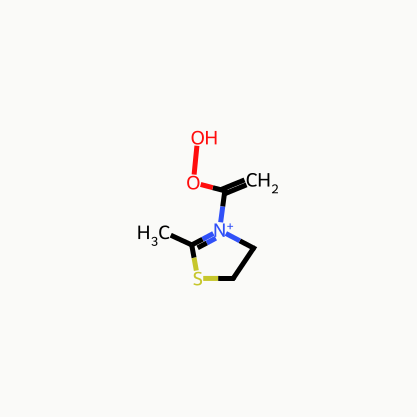 C=C(OO)[N+]1=C(C)SCC1